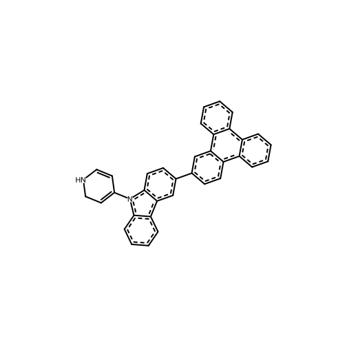 C1=CC(n2c3ccccc3c3cc(-c4ccc5c6ccccc6c6ccccc6c5c4)ccc32)=CCN1